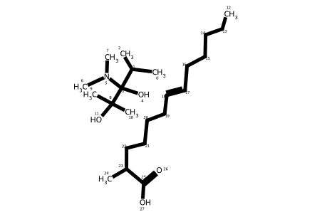 CC(C)C(O)(N(C)C)C(C)(C)O.CCCCCC=CCCCCC(C)C(=O)O